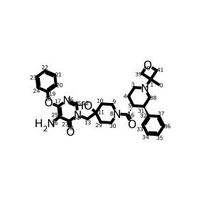 CC1(N2CC[C@@H](C(=O)N3CCC(O)(Cn4cnc(Oc5ccccc5)c(N)c4=O)CC3)[C@H](c3ccccc3)C2)COC1